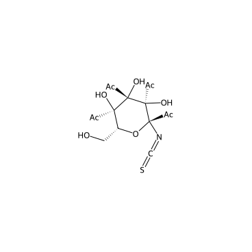 CC(=O)[C@@]1(O)[C@](O)(C(C)=O)[C@@](N=C=S)(C(C)=O)O[C@H](CO)[C@]1(O)C(C)=O